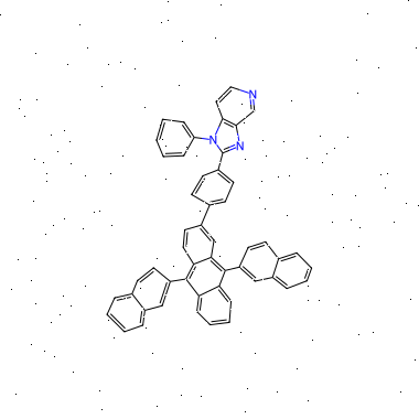 c1ccc(-n2c(-c3ccc(-c4ccc5c(-c6ccc7ccccc7c6)c6ccccc6c(-c6ccc7ccccc7c6)c5c4)cc3)nc3cnccc32)cc1